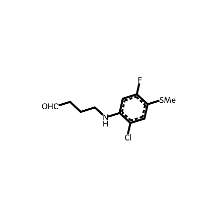 CSc1cc(Cl)c(NCCCC=O)cc1F